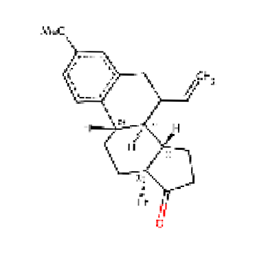 C=CC1Cc2cc(OC)ccc2[C@H]2CC[C@]3(CC)C(=O)CC[C@H]3[C@H]12